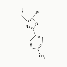 Cc1ccc(-c2nc(CI)c(C(C)C)o2)cc1